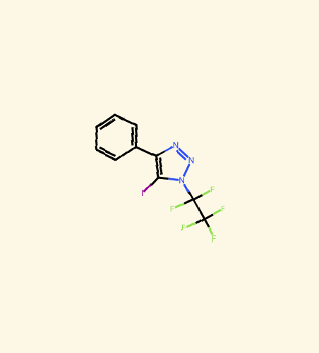 FC(F)(F)C(F)(F)n1nnc(-c2ccccc2)c1I